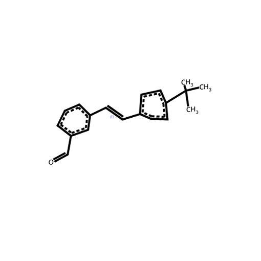 CC(C)(C)c1ccc(/C=C/c2cccc(C=O)c2)cc1